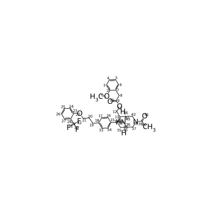 COc1ccccc1CC(=O)OCC1=C(c2ccc(CCCOc3ccccc3C(F)(F)F)cc2)C[C@@H]2CN(C(C)=O)C[C@H]1N2